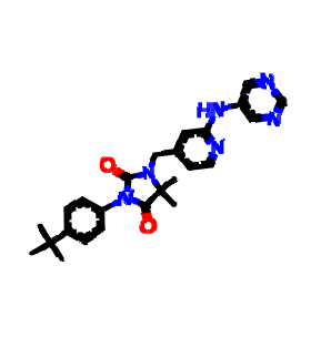 CC(C)(C)c1ccc(N2C(=O)N(Cc3ccnc(Nc4cncnc4)c3)C(C)(C)C2=O)cc1